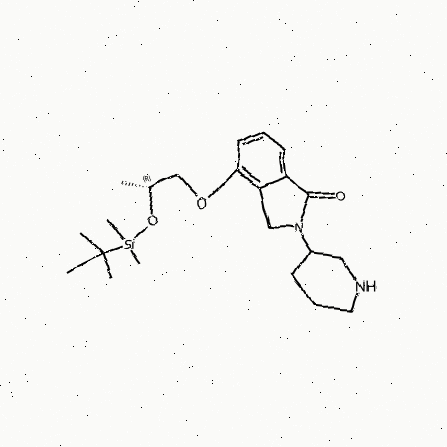 C[C@H](COc1cccc2c1CN(C1CCCNC1)C2=O)O[Si](C)(C)C(C)(C)C